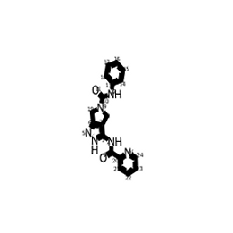 O=C(Nc1[nH]nc2c1CN(C(=O)Nc1ccccc1)C2)c1ccccn1